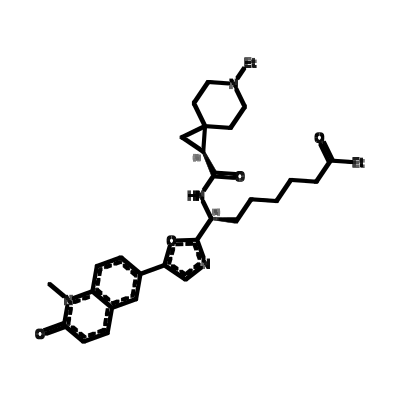 CCC(=O)CCCCC[C@H](NC(=O)[C@H]1CC12CCN(CC)CC2)c1ncc(-c2ccc3c(ccc(=O)n3C)c2)o1